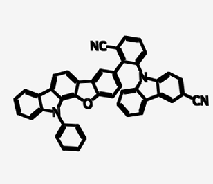 N#Cc1ccc2c(c1)c1ccccc1n2-c1cccc(C#N)c1-c1ccc2oc3c(ccc4c5ccccc5n(-c5ccccc5)c43)c2c1